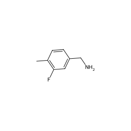 Cc1ccc(CN)cc1F